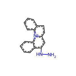 NNc1cc2ccc3ccccc3[n+]2c2ccccc12